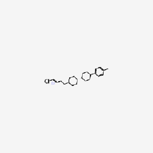 Cc1ccc(C2CCC([C@H]3CC[C@H](CC/C=C/Cl)CC3)CC2)cc1